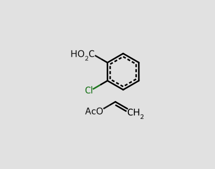 C=COC(C)=O.O=C(O)c1ccccc1Cl